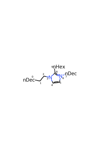 CCCCCCCCCCCCn1cc[n+](CCCCCCCCCC)c1CCCCCC